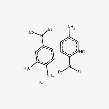 CCN(CC)c1ccc(N)c(C)c1.CCN(CC)c1ccc(N)cc1.Cl.Cl